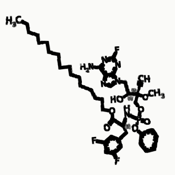 C#C[C@](COP(=O)(N[C@@H](Cc1cc(F)cc(F)c1)C(=O)OCCCCCCCCCCCCCCCCC)Oc1ccccc1)(OC)[C@@H](O)Cn1cnc2c(N)nc(F)nc21